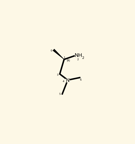 C[C@@H](N)CN(C)C